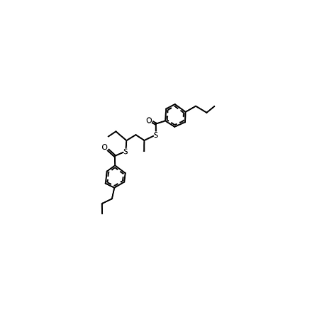 CCCc1ccc(C(=O)SC(C)CC(CC)SC(=O)c2ccc(CCC)cc2)cc1